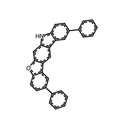 c1ccc(-c2ccc3[nH]c4cc5oc6ccc(-c7ccccc7)cc6c5cc4c3c2)cc1